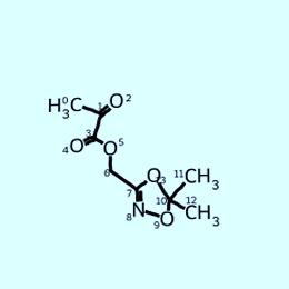 CC(=O)C(=O)OCC1=NOC(C)(C)O1